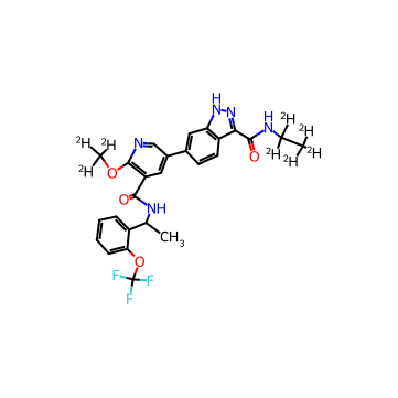 [2H]C([2H])([2H])Oc1ncc(-c2ccc3c(C(=O)NC([2H])([2H])C([2H])([2H])[2H])n[nH]c3c2)cc1C(=O)NC(C)c1ccccc1OC(F)(F)F